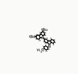 Cc1ccc(Sn2c3ccccc3c3cc(-n4c5ccc(C(C)(C)C)cc5c5cc(C(C)(C)C)ccc54)ccc32)cc1